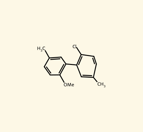 COc1ccc(C)cc1-c1cc(C)ccc1Cl